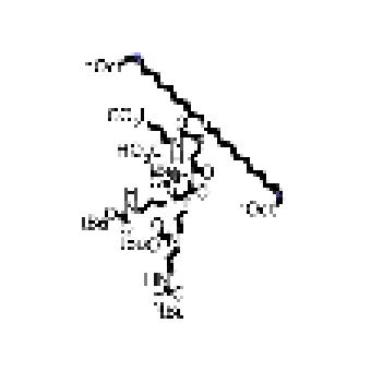 CCCCCCCC/C=C\CCCCCCCCN(CCCCCCCC/C=C\CCCCCCCC)[C@@H](CCC(=O)NC(=O)[C@H](CCCN(CCCNC(=O)OC(C)(C)C)C(=O)OC(C)(C)C)N(CCCNC(=O)OC(C)(C)C)C(=O)OC(C)(C)C)C(=O)N[C@@H](CCC(=O)O)C(=O)O